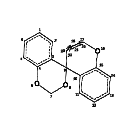 c1ccc2c(c1)OCOC21c2ccccc2Oc2ccccc21